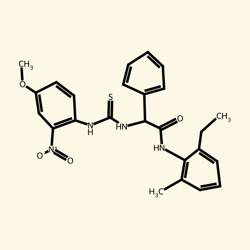 CCc1cccc(C)c1NC(=O)C(NC(=S)Nc1ccc(OC)cc1[N+](=O)[O-])c1ccccc1